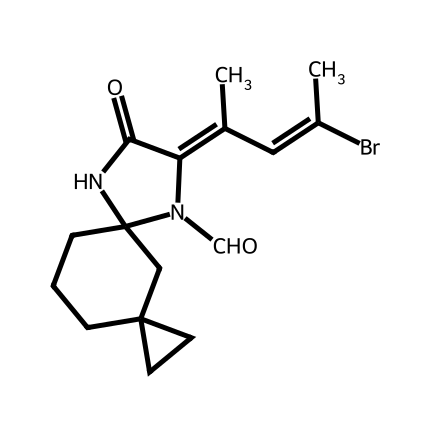 CC(/C=C(\C)Br)=C1\C(=O)NC2(CCCC3(CC3)C2)N1C=O